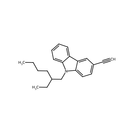 C#Cc1ccc2c(c1)c1ccccc1n2CC(CC)CCCC